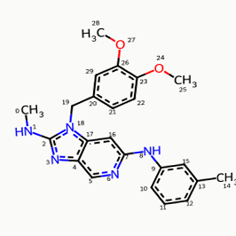 CNc1nc2cnc(Nc3cccc(C)c3)cc2n1Cc1ccc(OC)c(OC)c1